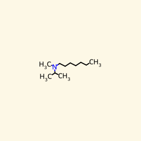 CCCCCCCN(C)C(C)C